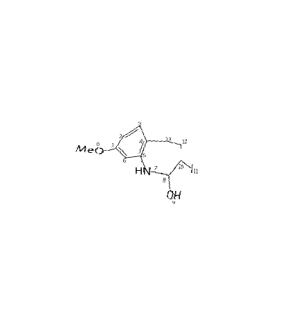 COc1ccc2c(c1)NC(O)C(I)CC2